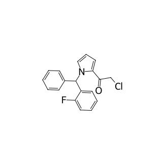 O=C(CCl)c1cccn1C(c1ccccc1)c1ccccc1F